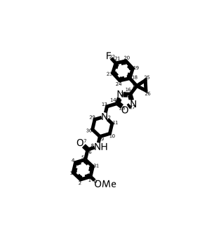 COc1cccc(C(=O)NC2CCN(Cc3nc(C4(c5ccc(F)cc5)CC4)no3)CC2)c1